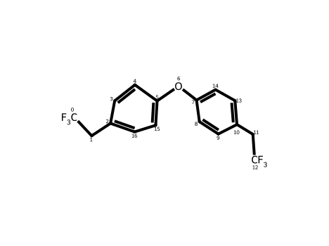 FC(F)(F)Cc1ccc(Oc2ccc(CC(F)(F)F)cc2)cc1